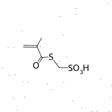 C=C(C)C(=O)SCS(=O)(=O)O